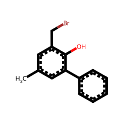 Cc1cc(CBr)c(O)c(-c2ccccc2)c1